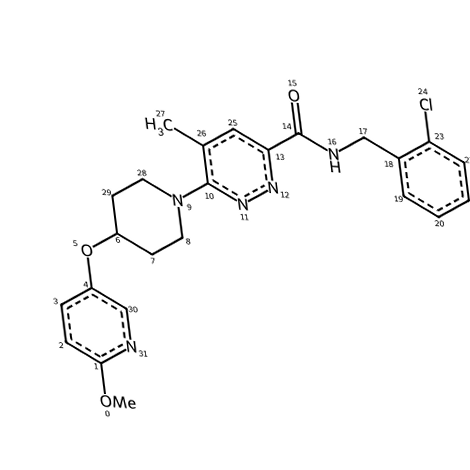 COc1ccc(OC2CCN(c3nnc(C(=O)NCc4ccccc4Cl)cc3C)CC2)cn1